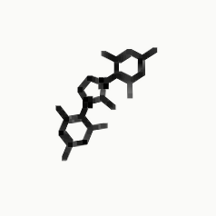 CC1=CC(C)=C(N2CCN(c3c(C)cc(C)cc3C)C2C)C(C)C1